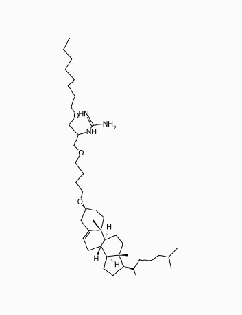 CCCCCCCCOCC(COCCCCO[C@H]1CC[C@@]2(C)C(=CC[C@H]3[C@@H]4CC[C@H](C(C)CCCC(C)C)[C@@]4(C)CC[C@@H]32)C1)NC(=N)N